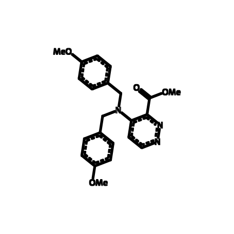 COC(=O)c1nnccc1N(Cc1ccc(OC)cc1)Cc1ccc(OC)cc1